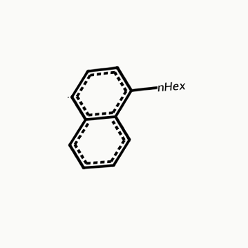 CCCCCCc1cc[c]c2ccccc12